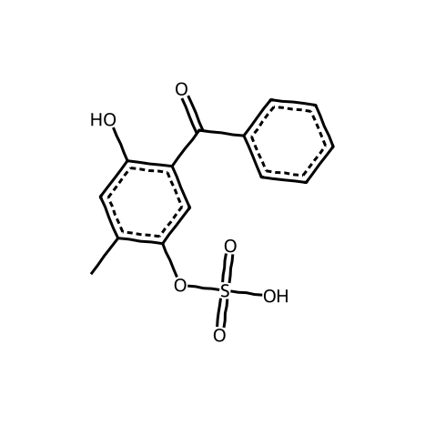 Cc1cc(O)c(C(=O)c2ccccc2)cc1OS(=O)(=O)O